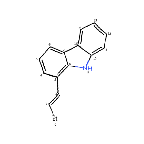 CC/C=C/c1cccc2c1[nH]c1ccccc12